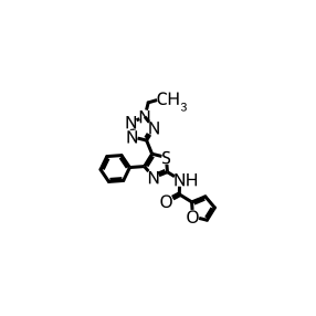 CCn1nnc(-c2sc(NC(=O)c3ccco3)nc2-c2ccccc2)n1